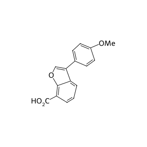 COc1ccc(-c2coc3c(C(=O)O)cccc23)cc1